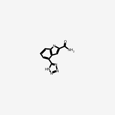 NC(=O)C1=Cc2c(cccc2-c2nnn[nH]2)[N]1